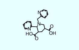 O=C(O)C1CC(C(=O)O)C(c2ccccn2)N(Cc2ccccn2)C1